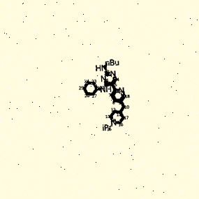 CCCCNc1ncc(-c2ccc(CC3CCN(C(C)C)CC3)cn2)c(NC2CCCCC2)n1